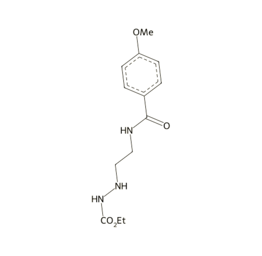 CCOC(=O)NNCCNC(=O)c1ccc(OC)cc1